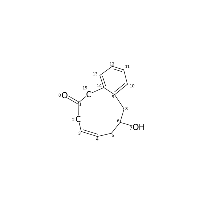 O=C1CC=CCC(O)Cc2ccccc2C1